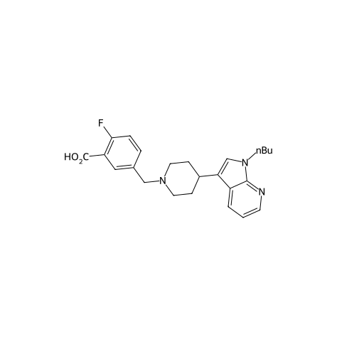 CCCCn1cc(C2CCN(Cc3ccc(F)c(C(=O)O)c3)CC2)c2cccnc21